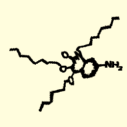 CCCCCCCCOc1c(OCCCCCC)c2ccc(N)cc2n(CCCCCCCC)c1=O